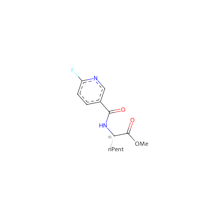 CCCCC[C@H](NC(=O)c1ccc(F)nc1)C(=O)OC